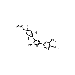 COCC1(F)C[C@@H]2[C@H](C1)[C@H]2c1cc(-c2cnc(N)c(C(F)(F)F)c2)nn1C(C)C